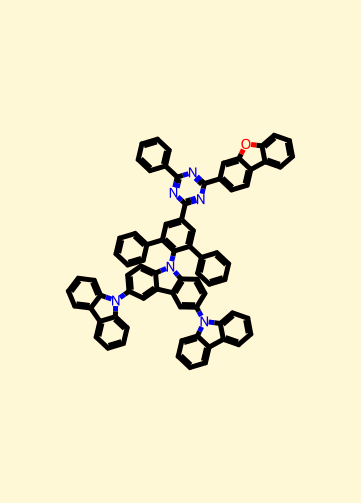 c1ccc(-c2nc(-c3cc(-c4ccccc4)c(-n4c5ccc(-n6c7ccccc7c7ccccc76)cc5c5cc(-n6c7ccccc7c7ccccc76)ccc54)c(-c4ccccc4)c3)nc(-c3ccc4c(c3)oc3ccccc34)n2)cc1